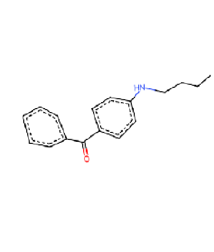 CCCCNc1ccc(C(=O)c2ccccc2)cc1